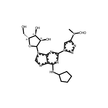 CN(C=O)c1cn(-c2nc(NC3CCCC3)c3ncn(C4O[C@H](CO)[C@@H](O)[C@H]4O)c3n2)nn1